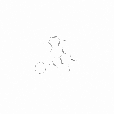 CCn1c(=O)n(C)c(=O)c2c1nc(N1CCCCC1)n2Cc1cc(Cl)ccc1Cl